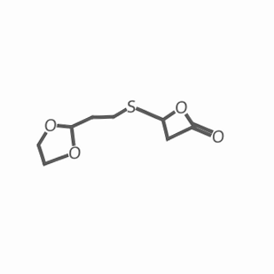 O=C1CC(SCCC2OCCO2)O1